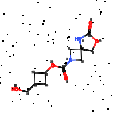 O=C1NC2(CO1)CN(C(=O)OC1CC(CO)C1)C2